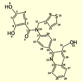 O=C(c1ccc(O)cc1O)N(Cc1ccsc1)c1ccc(-c2nc3ccccc3cc2CO)cc1